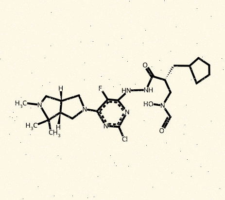 CN1C[C@@H]2CN(c3nc(Cl)nc(NNC(=O)[C@H](CC4CCCC4)CN(O)C=O)c3F)C[C@@H]2C1(C)C